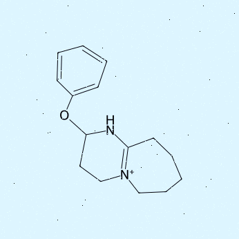 c1ccc(OC2CC[N+]3=C(CCCCC3)N2)cc1